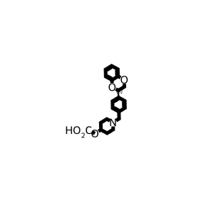 O=C(O)OC1CCN(Cc2ccc([C@@H]3COc4ccccc4O3)cc2)CC1